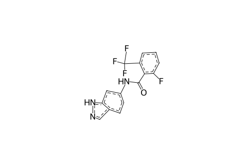 O=C(Nc1ccc2cn[nH]c2c1)c1c(F)cccc1C(F)(F)F